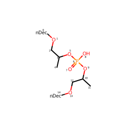 CCCCCCCCCCOCC(C)OP(=O)(O)OC(C)COCCCCCCCCCC